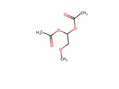 COCC(OC(C)=O)OC(C)=O